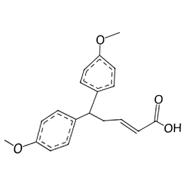 COc1ccc(C(CC=CC(=O)O)c2ccc(OC)cc2)cc1